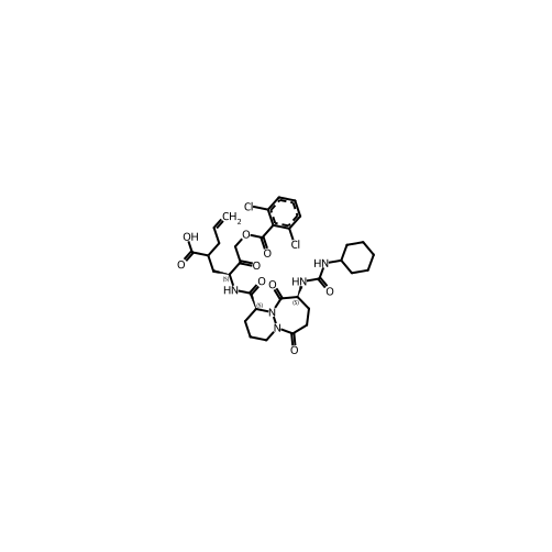 C=CCC(C[C@H](NC(=O)[C@@H]1CCCN2C(=O)CC[C@H](NC(=O)NC3CCCCC3)C(=O)N12)C(=O)COC(=O)c1c(Cl)cccc1Cl)C(=O)O